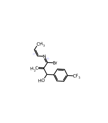 C=C(/C(Br)=N\C=C/C)C(O)c1ccc(C(F)(F)F)cc1